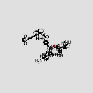 CC(C)[C@H](NC(=O)CCCCCN1C(=O)C=CC1=O)C(=O)N[C@@H](C)C(=O)Nc1ccc(CSP2(=O)OC[C@H]3O[C@@H](n4cc(F)c5c(=O)[nH]cnc54)[C@H](OP(=O)(O)OC[C@H]4O[C@@H](n5cnc6c(N)ncnc65)[C@H](F)[C@@H]4O2)[C@@H]3O)cc1